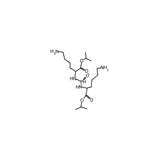 CC(C)OC(=O)C(CCCCN)N[PH](=O)NC(CCCCN)C(=O)OC(C)C